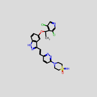 CC(Oc1ccc2[nH]nc(/C=C/c3ccc(N4CCS(=N)(=O)CC4)nn3)c2c1)c1c(Cl)cncc1Cl